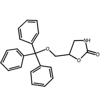 O=C1NCC(COC(c2ccccc2)(c2ccccc2)c2ccccc2)O1